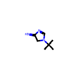 CC(C)(C)N1C=NC(=N)C1